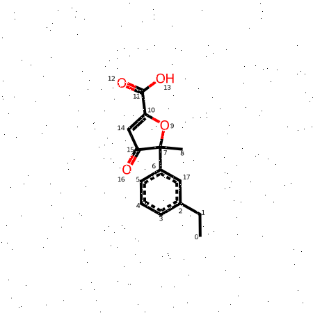 CCc1cccc(C2(C)OC(C(=O)O)=CC2=O)c1